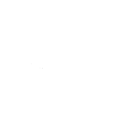 [O]Oc1[c]c2ccccc2cc1